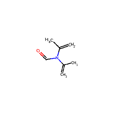 C=C(C)N([C]=O)C(=C)C